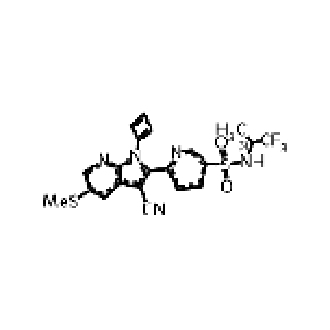 CSc1cnc2c(c1)c(C#N)c(-c1ccc(S(=O)(=O)N[C@@H](C)C(F)(F)F)cn1)n2C1=CC=C1